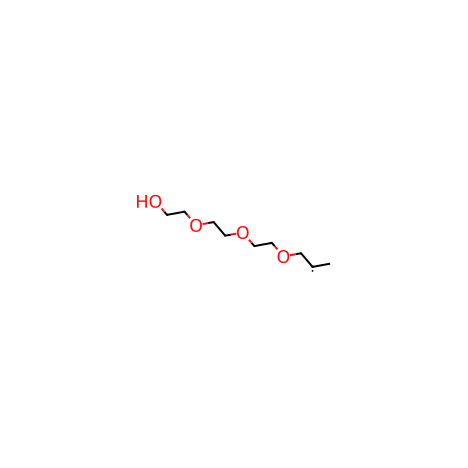 C[CH]COCCOCCOCCO